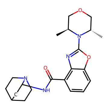 C[C@H]1COC[C@H](C)N1c1nc2c(C(=O)NC3CC4CCN3CC4)cccc2o1